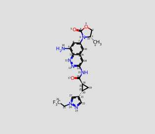 C[C@H]1COC(=O)N1c1cc(N)c2nnc(NC(=O)[C@H]3C[C@@H]3c3cnn(CC(F)(F)F)c3)cc2c1